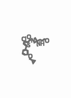 CNC1(CCC=O)CN(C(=O)c2sc(-c3cccc(OCC4CC4)c3)cc2Cl)C1